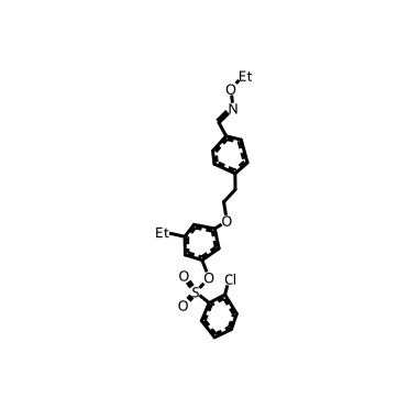 CCON=Cc1ccc(CCOc2cc(CC)cc(OS(=O)(=O)c3ccccc3Cl)c2)cc1